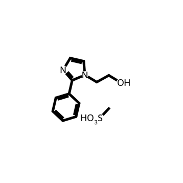 CS(=O)(=O)O.OCCn1ccnc1-c1ccccc1